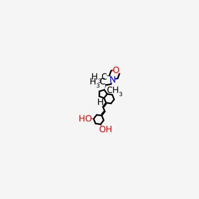 CC(CN1CCOC[C@H]1C)[C@H]1CC[C@H]2/C(=C/C=C3C[C@@H](O)C[C@H](O)C3)CCC[C@]12C